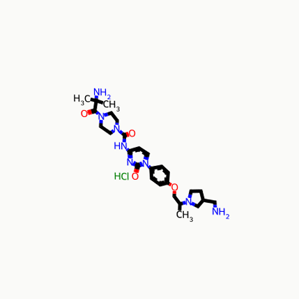 CC(COc1ccc(-n2ccc(NC(=O)N3CCN(C(=O)C(C)(C)N)CC3)nc2=O)cc1)N1CCC(CN)C1.Cl